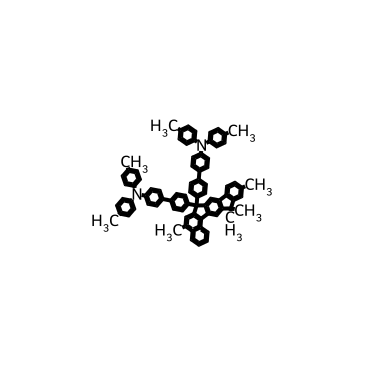 Cc1ccc(N(c2ccc(C)cc2)c2ccc(-c3ccc(C4(c5ccc(-c6ccc(N(c7ccc(C)cc7)c7ccc(C)cc7)cc6)cc5)c5cc6c(cc5-c5c4cc(C)c4ccccc54)C(C)(C)c4cc(C)ccc4-6)cc3)cc2)cc1